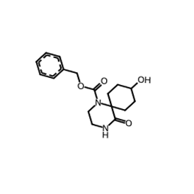 O=C(OCc1ccccc1)N1CCNC(=O)C12CCC(O)CC2